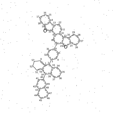 C1=c2c(-c3ccc(-c4cc5c(ccc6c7ccccc7oc65)c5c4oc4ccccc45)cc3)c3ccccc3c(-c3ccc4ccccc4c3)c2=CCC1